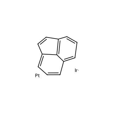 C1=Cc2cccc3cccc1c23.[Ir].[Pt]